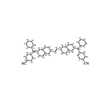 N#Cc1ccc(N(c2ccccc2)c2ccc3cc(/C=C/c4ccc5cc(N(c6ccccc6)c6ccc(C#N)cc6)ccc5c4)ccc3c2)cc1